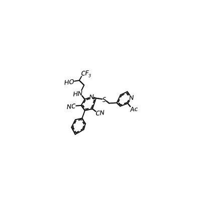 CC(=O)c1cc(CSc2nc(NCC(O)C(F)(F)F)c(C#N)c(-c3ccccc3)c2C#N)ccn1